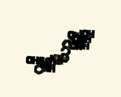 Cc1ccc([C@]23OC[C@](C(C)(C)O)(O2)[C@@H](O)[C@H](O)[C@H]3O)cc1Cc1ccc(CCCC(=O)NC2(N(C=O)CCN3CC[C@@H](F)C3)CCCCC2)cc1